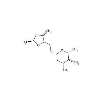 C=C1C[C@H](C)OC1CC[C@H]1C[C@@H](C)C(=C)[C@@H](C)O1